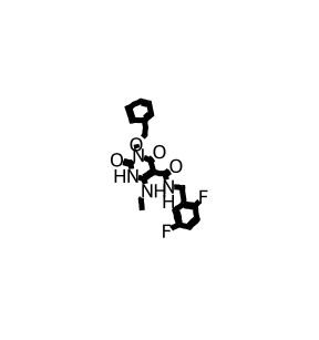 CCNc1[nH]c(=O)n(OCc2ccccc2)c(=O)c1C(=O)NCc1cc(F)ccc1F